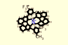 Cc1cc(-c2cc3ccccc3c3c2C[N+]2(Cc4ccc5ccccc5c4-c4c(ccc5ccccc45)C2)Cc2c(-c4cc(C)cc(C(F)(F)F)c4)cc4ccccc4c2-3)cc(C(F)(F)F)c1